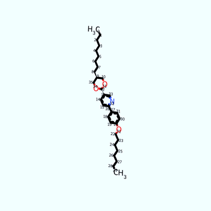 CCCCCCCCC[C@H]1CO[C@H](c2ccc(-c3ccc(OCCCCCCCC)cc3)nc2)OC1